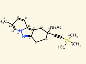 CC(=O)NC1(C#CS(C)(C)C)CCc2nn3cc(C)ccc3c2C1